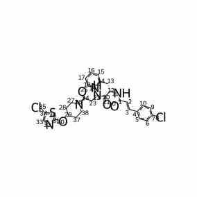 O=C(/C=C/c1ccc(Cl)cc1)N[C@@H](Cc1ccccn1)C(=O)NCC(=O)N1CCC(Oc2ncc(Cl)s2)CC1